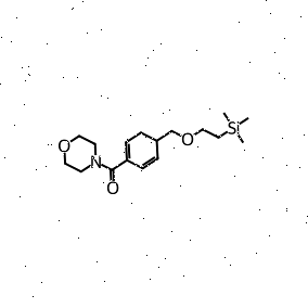 C[Si](C)(C)CCOCC1C=CC(C(=O)N2CCOCC2)=CC1